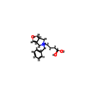 O=C([O-])CCC[N+]1(Cc2ccccc2)Cc2cocc2C1